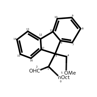 CCCCCCCCC(C=O)C1(COC)c2ccccc2-c2ccccc21